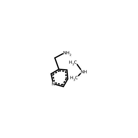 CNC.NCc1cccnc1